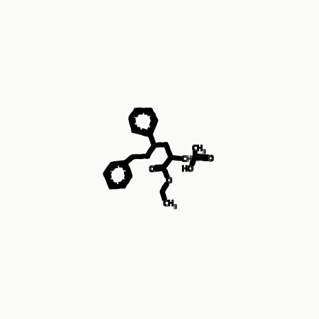 CC(=O)O.CCOC(=O)C(C)CC(CCc1ccccc1)c1ccccc1